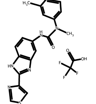 Cc1cccc(N(C)C(=O)Nc2ccc3[nH]c(-c4cscn4)nc3c2)c1.O=C(O)C(F)(F)F